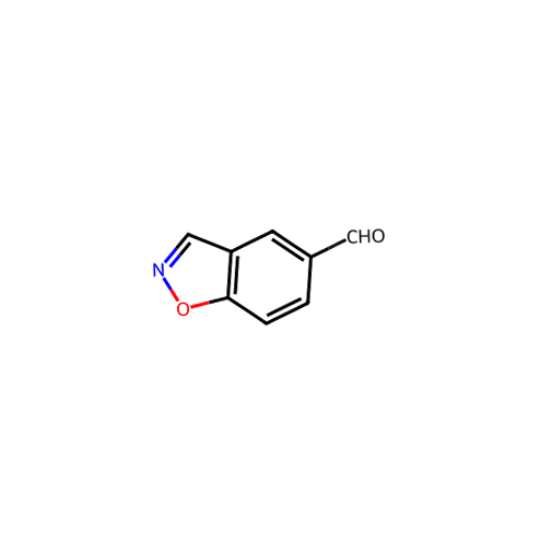 O=Cc1ccc2oncc2c1